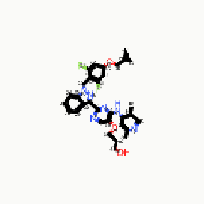 Cc1cc(Nc2nc(-c3nn(Cc4c(F)cc(OCC5CC5)cc4F)c4ccccc34)ncc2OCCCO)c(C)cn1